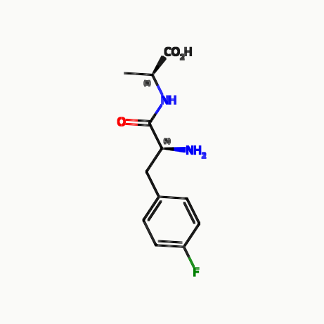 C[C@H](NC(=O)[C@@H](N)Cc1ccc(F)cc1)C(=O)O